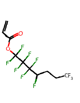 C=CC(=O)OC(F)(F)C(F)(F)C(F)(F)C(F)CCC(F)(F)F